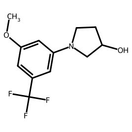 COc1cc(N2CCC(O)C2)cc(C(F)(F)F)c1